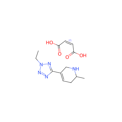 CCn1nnc(C2=CCC(C)NC2)n1.O=C(O)/C=C\C(=O)O